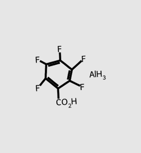 O=C(O)c1c(F)c(F)c(F)c(F)c1F.[AlH3]